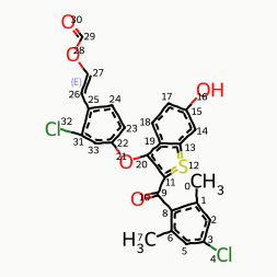 Cc1cc(Cl)cc(C)c1C(=O)c1sc2cc(O)ccc2c1Oc1ccc(/C=C/OC=O)c(Cl)c1